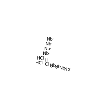 Cl.Cl.Cl.[Nb].[Nb].[Nb].[Nb].[Nb].[Nb].[Nb].[Nb]